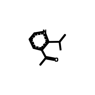 CC(=O)c1cccnc1C(C)C